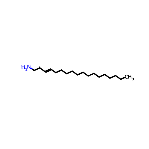 CCCCCCCCCCCCCCC=C[CH]CN